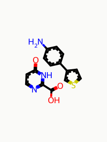 Nc1ccc(-c2ccsc2)cc1.O=C(O)c1nccc(=O)[nH]1